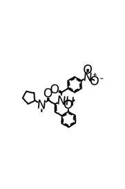 COc1ccccc1C=C(NC(=O)c1ccc([N+](=O)[O-])cc1)C(=O)N(C)C1CCCC1